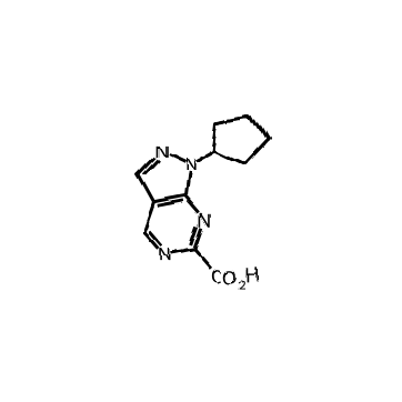 O=C(O)c1ncc2cnn(C3CCCC3)c2n1